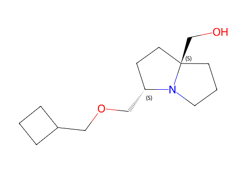 OC[C@@]12CCCN1[C@H](COCC1CCC1)CC2